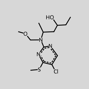 CCC(O)CC(C)N(COC)c1ncc(Cl)c(SC)n1